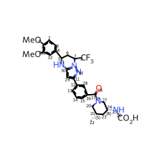 COc1ccc(C2CC(C(F)(F)F)n3nc(-c4cccc(C(=O)N5C[C@@H](C)C[C@@H](NC(=O)O)C5)c4)cc3N2)cc1OC